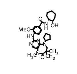 COc1cc(C(=O)N[C@@H]2CCCCC[C@H]2O)ccc1Nc1ncc2c(n1)N(C1CCCC1)CC(C)(C)C(=O)N2C